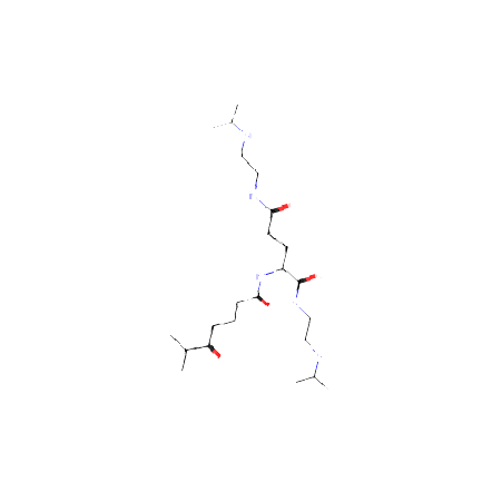 CC(C)NCCNC(=O)CCC(NC(=O)CCCC(=O)C(C)C)C(=O)NCCNC(C)C